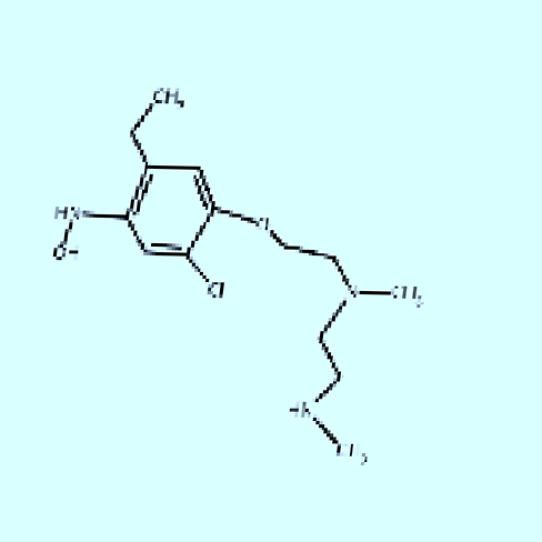 CCc1cc(OCCN(C)CCNC)c(Cl)cc1NO